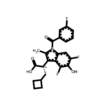 Cc1c([C@H](CC2CCC2)C(=O)O)c2c(F)c(O)c(F)cc2n1C(=O)c1cccc(F)c1